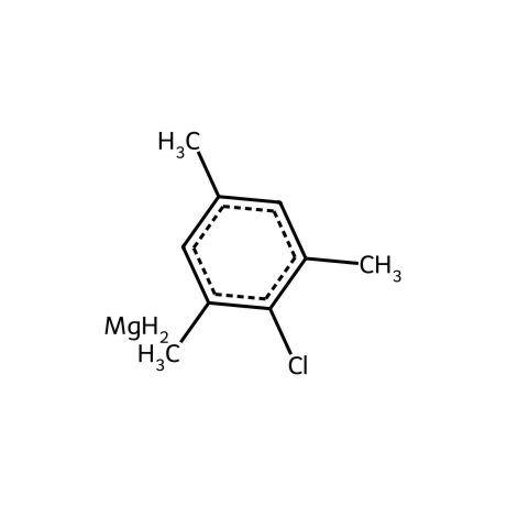 Cc1cc(C)c(Cl)c(C)c1.[MgH2]